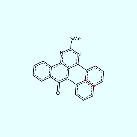 CSc1nc(-c2ccccc2)c2c(n1)c1ccccc1c(=O)n2-c1ccccc1